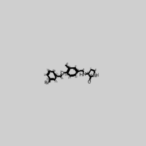 Cc1cc(CNC2CCNC2=O)ccc1OCc1cccc(Br)c1